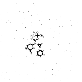 CC(C)(C)OC(=O)N(C1CCNC(=O)C1)[C@@H]1C[C@H]1c1ccccc1